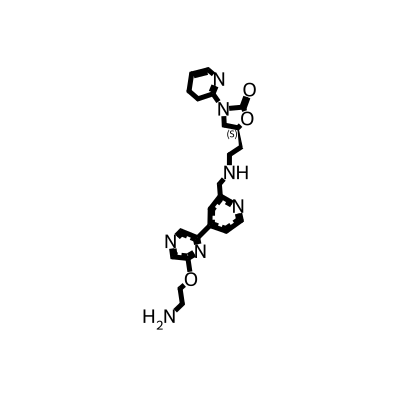 NCCOc1cncc(-c2ccnc(CNCC[C@H]3CN(C4=NC=CCC4)C(=O)O3)c2)n1